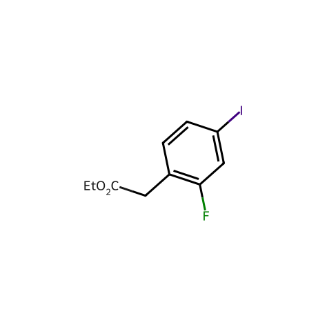 CCOC(=O)Cc1ccc(I)cc1F